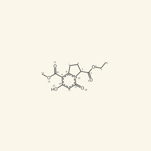 CCOC(=O)C1CCc2c(C(=O)OC)c(O)cc(=O)n21